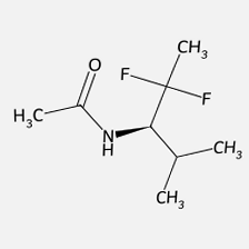 CC(=O)N[C@H](C(C)C)C(C)(F)F